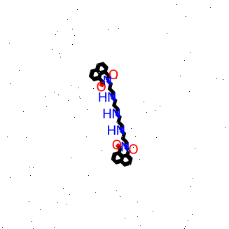 O=C1c2cccc3cccc(c23)C(=O)N1CCCNCCCNCCCNCCCN1C(=O)c2cccc3cccc(c23)C1=O